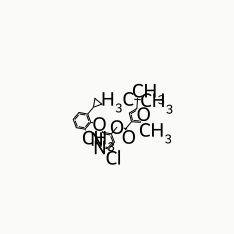 Cc1cccc(C2CC2)c1Oc1nnc(Cl)cc1OC(=O)c1cc(C(C)(C)C)oc1C